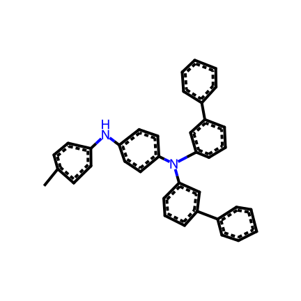 Cc1ccc(Nc2ccc(N(c3cccc(-c4ccccc4)c3)c3cccc(-c4ccccc4)c3)cc2)cc1